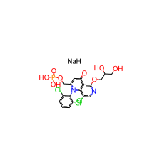 O=c1cc(COP(=O)(O)O)n(-c2c(Cl)cccc2Cl)c2c(Cl)cnc(OCC(O)CO)c12.[NaH]